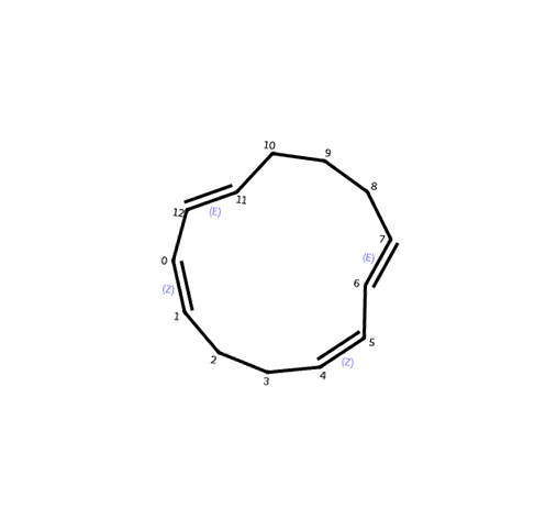 C1=C\CC/C=C\C=C\CCC/C=C/1